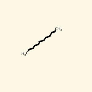 CCC[CH]CC[CH]CCCCC